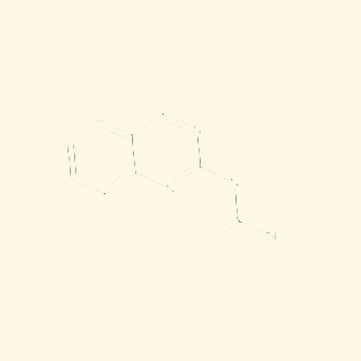 NC(=O)Nc1ncc2ccccc2n1